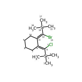 C[Si](C)(C)C(Cl)=C1CCCCC1=C(Br)[Si](C)(C)C